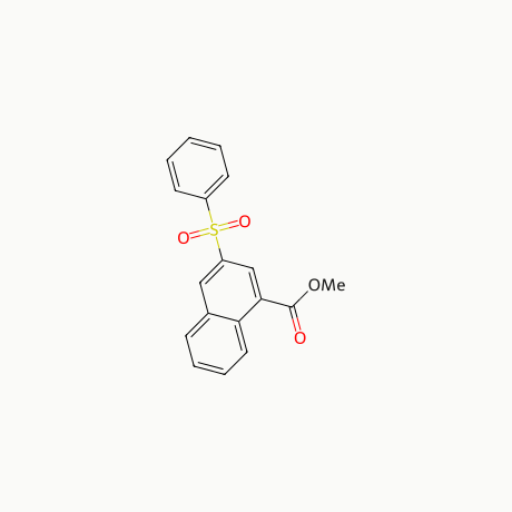 COC(=O)c1cc(S(=O)(=O)c2ccccc2)cc2ccccc12